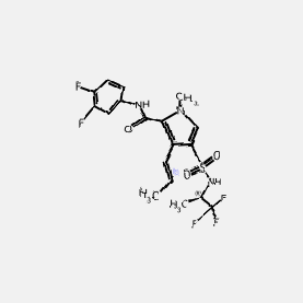 C/C=C/c1c(S(=O)(=O)N[C@H](C)C(F)(F)F)cn(C)c1C(=O)Nc1ccc(F)c(F)c1